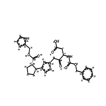 O=C(O)CC(NC(=O)OCc1ccccc1)C(=O)Cn1nnc(N2CCC[C@@H]2C(=O)OCc2ncc[nH]2)n1